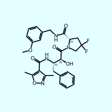 COc1cccc(CNC(=O)[C@@H]2CC(F)(F)CN2C(=O)[C@@H](O)[C@H](Cc2ccccc2)NC(=O)c2c(C)noc2C)c1